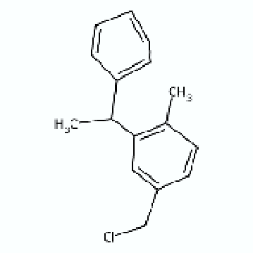 Cc1ccc(CCl)cc1C(C)c1ccccc1